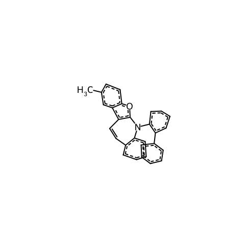 Cc1ccc2oc3c(c2c1)C=Cc1ccccc1N3c1ccccc1-c1ccccc1